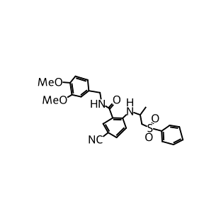 COc1ccc(CNC(=O)c2cc(C#N)ccc2NC(C)CS(=O)(=O)c2ccccc2)cc1OC